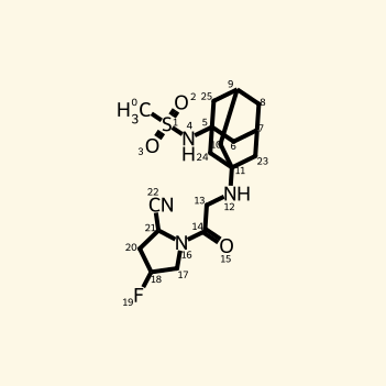 CS(=O)(=O)NC12CC3CC(CC(NCC(=O)N4CC(F)CC4C#N)(C3)C1)C2